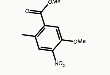 COC(=O)c1cc(OC)c([N+](=O)[O-])cc1C